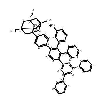 N#Cc1cccc(-c2c(-c3ccc(C45C[C@H]6C[C@@H](C4)C[C@@H](C5)C6)cc3)ccc(-c3nc(-c4ccccc4)nc(-c4ccccc4)n3)c2-c2ccccc2)c1